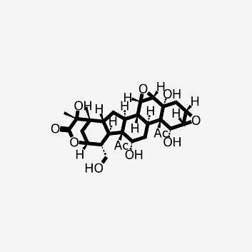 CC(=O)[C@@]12[C@H]3[C@H](CO)[C@H]4C[C@@](C)([C@@H]3C[C@H]1[C@@H]1[C@@H]3O[C@@H]3[C@@]3(O)C[C@@H]5O[C@@H]5[C@H](O)[C@]3(C(C)=O)[C@H]1C[C@@H]2O)[C@@](C)(O)C(=O)O4